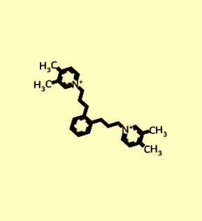 Cc1cc[n+](CCCc2ccccc2CCC[n+]2ccc(C)c(C)c2)cc1C